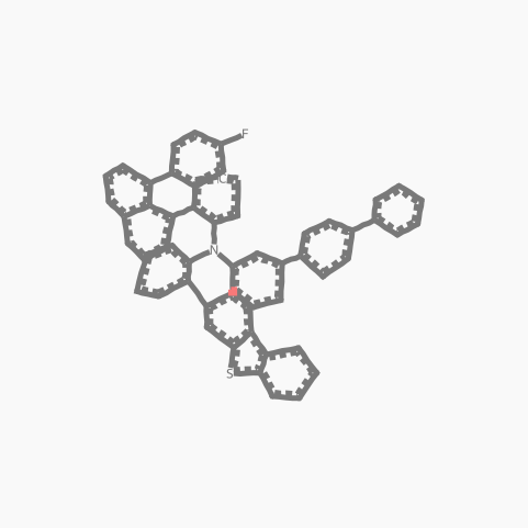 Fc1ccc(-c2cccc3cccc(-c4ccccc4N(c4cccc(-c5ccc(-c6ccccc6)cc5)c4)c4ccccc4-c4ccc5c(c4)sc4ccccc45)c23)cc1